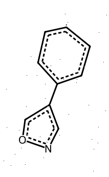 [c]1ccc(-c2cnoc2)cc1